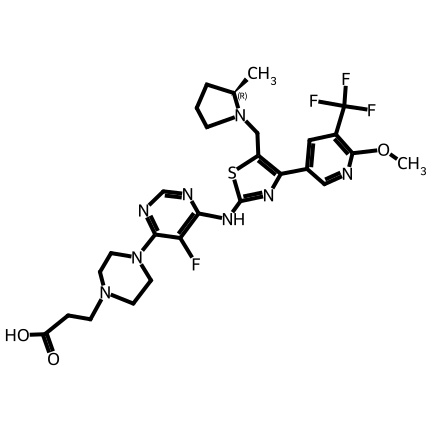 COc1ncc(-c2nc(Nc3ncnc(N4CCN(CCC(=O)O)CC4)c3F)sc2CN2CCC[C@H]2C)cc1C(F)(F)F